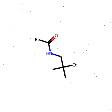 CCC(=O)NCC(C)(C)CC